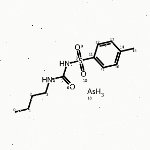 CCCCNC(=O)NS(=O)(=O)c1ccc(C)cc1.[AsH3]